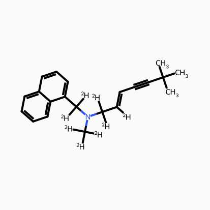 [2H]/C(=C\C#CC(C)(C)C)C([2H])([2H])N(C([2H])([2H])[2H])C([2H])([2H])c1cccc2ccccc12